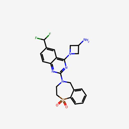 NC1CN(c2nc(N3CCS(=O)(=O)c4ccccc4C3)nc3ccc(C(F)F)cc23)C1